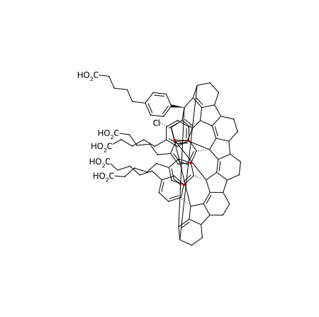 O=C(O)CCCCc1ccc([C@]23C4=C5[C@]6(c7ccc(CCCCC(=O)O)cc7)C7=C2C2CCC7C7CCC8C(=C76)[C@]6(c7ccc(CCCCC(=O)O)cc7)C7=C9C(CCC78)C7CCC8C%10=C7[C@]9(c7ccc(CCCCC(=O)O)cc7)C(=C4[C@@]%10(c4ccc(CCCCC(=O)O)cc4)C4=C3C2CCC48)[C@]56Cl)cc1